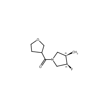 C[C@@H]1CN(C(=O)C2CCOC2)C[C@@H]1F